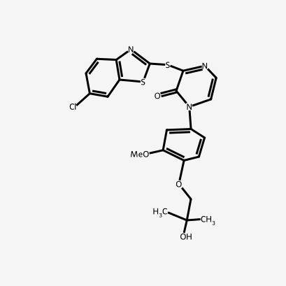 COc1cc(-n2ccnc(Sc3nc4ccc(Cl)cc4s3)c2=O)ccc1OCC(C)(C)O